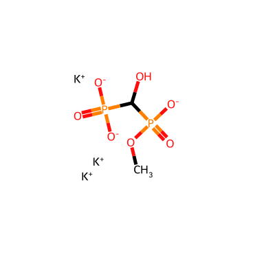 COP(=O)([O-])C(O)P(=O)([O-])[O-].[K+].[K+].[K+]